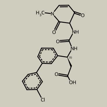 CN1C=CC(=O)C(NC(=O)N[C@@H](CC(=O)O)c2cccc(-c3cccc(Cl)c3)c2)C1=O